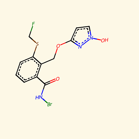 O=C(NBr)c1cccc(SCF)c1COc1ccn(O)n1